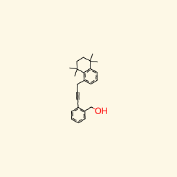 CC1(C)CCC(C)(C)c2c(CC#Cc3ccccc3CO)cccc21